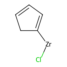 [Cl][Zr][C]1=CC=CC1